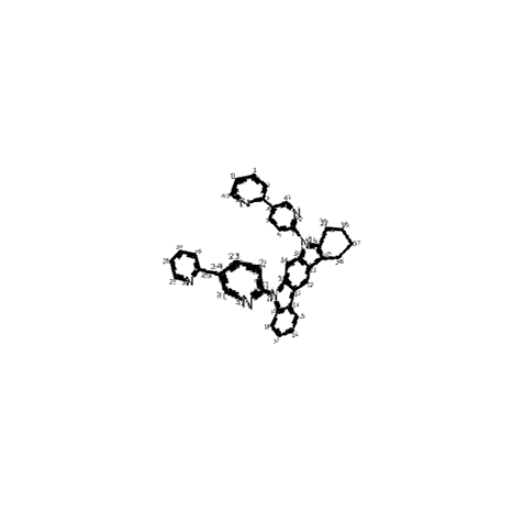 c1ccc(-c2ccc(-n3c4c(c5cc6c7ccccc7n(-c7ccc(-c8ccccn8)cn7)c6cc53)CCCC4)nc2)nc1